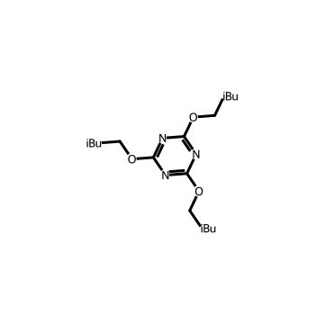 CCC(C)COc1nc(OCC(C)CC)nc(OCC(C)CC)n1